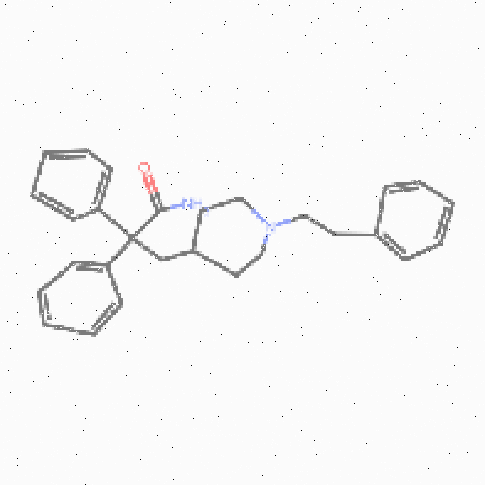 NC(=O)C(CC1CCN(CCc2ccccc2)CC1)(c1ccccc1)c1ccccc1